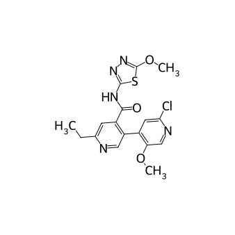 CCc1cc(C(=O)Nc2nnc(OC)s2)c(-c2cc(Cl)ncc2OC)cn1